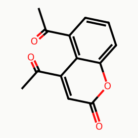 CC(=O)c1cccc2oc(=O)cc(C(C)=O)c12